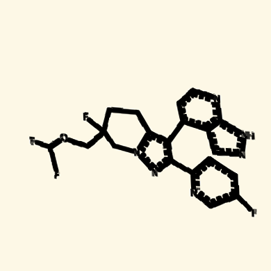 Fc1ccc(-c2nn3c(c2-c2ccnc4[nH]ncc24)CCC(F)(COC(F)F)C3)nc1